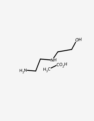 CC(=O)O.NCCNCCO